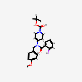 COc1ccc(CN(C(=O)c2ccccc2I)C2=CCN(C(=O)OC(C)(C)C)CC2)cc1